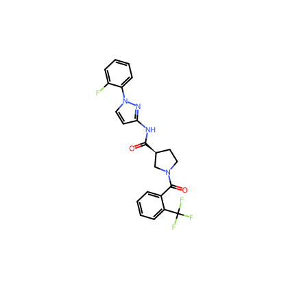 O=C(Nc1ccn(-c2ccccc2F)n1)[C@H]1CCN(C(=O)c2ccccc2C(F)(F)F)C1